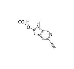 C#Cc1cc2cc(OC(=O)O)[nH]c2cn1